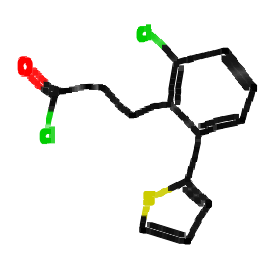 O=C(Cl)CCc1c(Cl)cccc1-c1cccs1